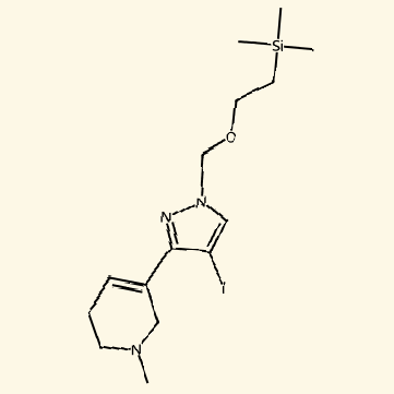 CN1CCC=C(c2nn(COCC[Si](C)(C)C)cc2I)C1